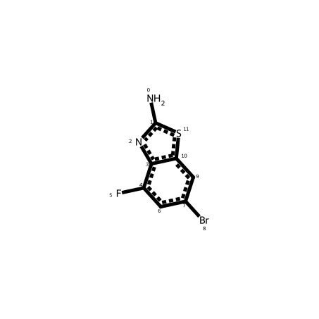 Nc1nc2c(F)cc(Br)cc2s1